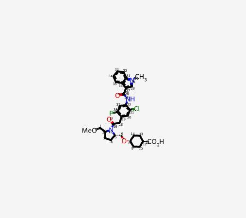 COCC1CC[C@@H](CO[C@H]2CC[C@H](C(=O)O)CC2)N1C(=O)Cc1cc(Cl)c(NC(=O)c2cn(C)c3ccccc23)cc1F